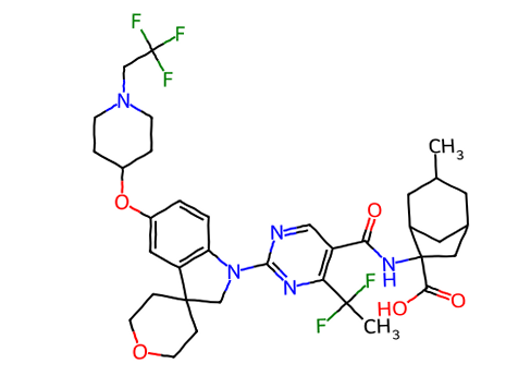 CC1CC2CC(C1)C(NC(=O)c1cnc(N3CC4(CCOCC4)c4cc(OC5CCN(CC(F)(F)F)CC5)ccc43)nc1C(C)(F)F)(C(=O)O)C2